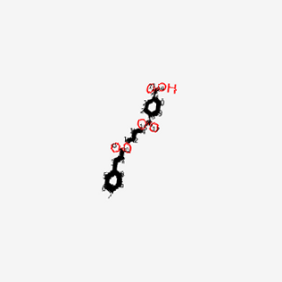 O=C(C=Cc1ccccc1)OCCCCOC(=O)[C@H]1CC[C@H](C(=O)O)CC1